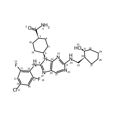 NC(=O)[C@H]1CC[C@@H](n2c(Nc3c(F)cc(Cl)cc3F)nc3cnc(NC[C@@H]4CCCC[C@@H]4O)nc32)CC1